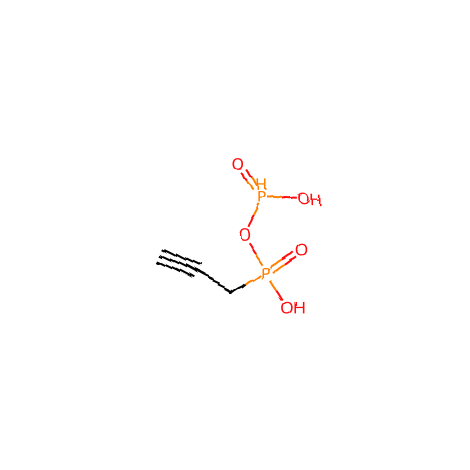 C#CCP(=O)(O)O[PH](=O)O